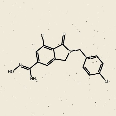 N/C(=N\O)c1cc(Cl)c2c(c1)CN(Cc1ccc(Cl)cc1)C2=O